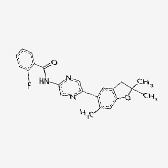 Cc1cc2c(cc1-c1cnc(NC(=O)c3ccccc3F)cn1)CC(C)(C)O2